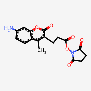 Cc1c(CCC(=O)ON2C(=O)CCC2=O)c(=O)oc2cc(N)ccc12